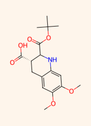 COc1cc2c(cc1OC)NC(C(=O)OC(C)(C)C)[C@@H](C(=O)O)C2